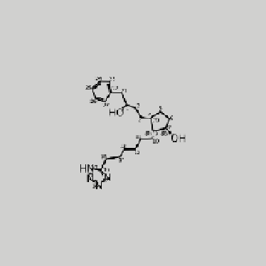 OC(CC[C@H]1CC[C@@H](O)[C@@H]1CCCCCCc1nnn[nH]1)Cc1ccccc1